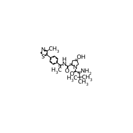 Cc1ncsc1-c1ccc([C@H](C)NC(=O)[C@H]2C[C@H](O)CN2C(=O)[C@H](N)C(C)(C)C)cc1